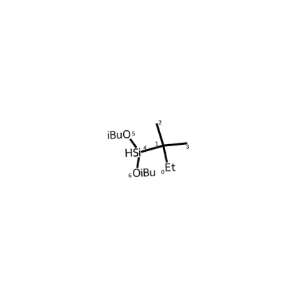 CCC(C)(C)[SiH](OCC(C)C)OCC(C)C